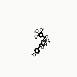 COC1=Nc2oc(-c3ccc(OC)cc3)cc2CN1C(=O)c1cc(OC)c(OC)c(OC)c1